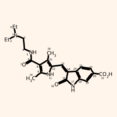 CCN(CC)CCNC(=O)c1c(C)[nH]c(C=C2C(=O)Nc3cc(C(=O)O)ccc32)c1C